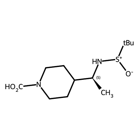 C[C@H](N[S+]([O-])C(C)(C)C)C1CCN(C(=O)O)CC1